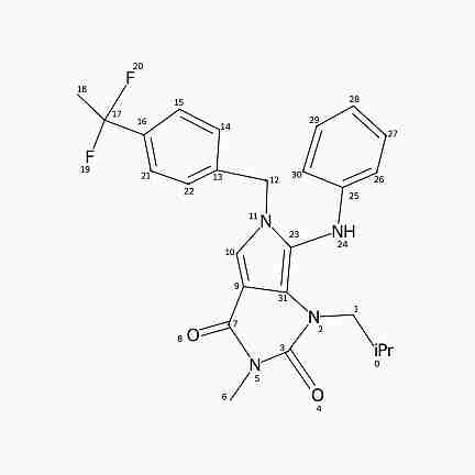 CC(C)Cn1c(=O)n(C)c(=O)c2cn(Cc3ccc(C(C)(F)F)cc3)c(Nc3ccccc3)c21